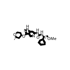 COC[C@@H](NC(=O)Nc1cc2[nH]nc(O[C@H]3CCO[C@@H](C)C3)c2cn1)c1ccccc1